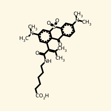 CC(C)=C(C(=O)NCCCCCC(=O)O)c1cc(N(C)C)cc2c1C(=O)c1ccc(N(C)C)cc1S2(=O)=O